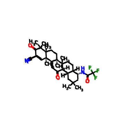 CC1(C)C[C@H]2[C@H](CC[C@]3(C)[C@@H]2C(=O)C=C2[C@@]4(C)C=C(C#N)C(=O)C(C)(C)[C@@H]4CC[C@]23C)[C@H](NC(=O)C(F)(F)F)C1